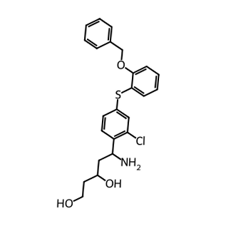 NC(CC(O)CCO)c1ccc(Sc2ccccc2OCc2ccccc2)cc1Cl